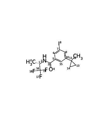 C[C@H](NC(=O)c1cc(I)cc(C2(C)CC2)c1)C(F)(F)F